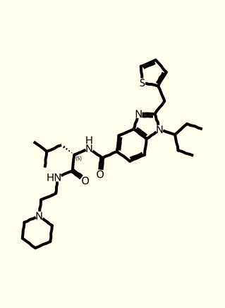 CCC(CC)n1c(Cc2cccs2)nc2cc(C(=O)N[C@@H](CC(C)C)C(=O)NCCN3CCCCC3)ccc21